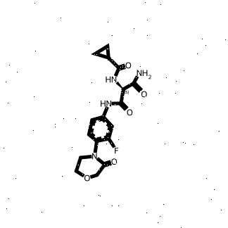 NC(=O)[C@H](NC(=O)C1CC1)C(=O)Nc1ccc(N2CCOCC2=O)c(F)c1